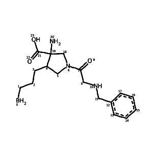 BCCCC1CN(C(=O)CNCc2ccccc2)CC1(N)C(=O)O